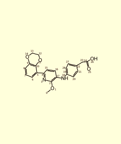 COc1nc(-c2cccc3c2OCCO3)ccc1Nc1ccc(CC(=O)O)cc1